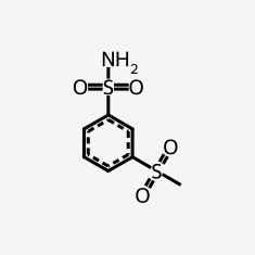 CS(=O)(=O)c1cccc(S(N)(=O)=O)c1